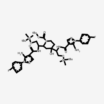 CC(C)(C)OC(=O)N1CCC(O)(C(CO[Si](C)(C)C(C)(C)C)NC(=O)c2cnn(-c3ccc(F)cc3)c2N)CC1C(CO[Si](C)(C)C(C)(C)C)NC(=O)c1cnn(-c2ccc(F)cc2)c1N